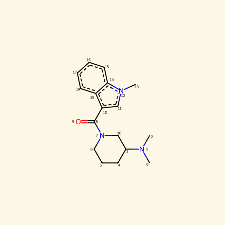 CN(C)C1CCCN(C(=O)c2cn(C)c3ccccc23)C1